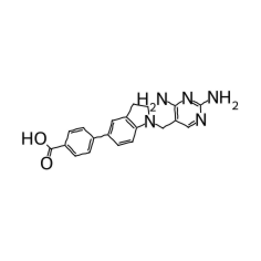 Nc1ncc(CN2CCc3cc(-c4ccc(C(=O)O)cc4)ccc32)c(N)n1